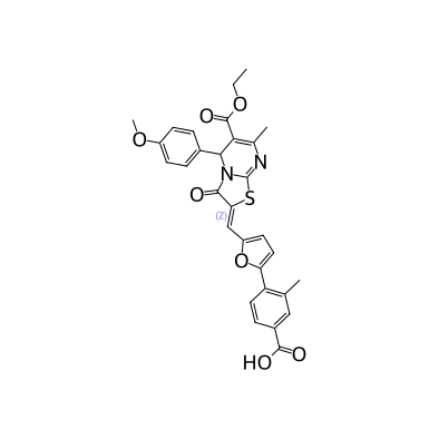 CCOC(=O)C1=C(C)N=c2s/c(=C\c3ccc(-c4ccc(C(=O)O)cc4C)o3)c(=O)n2C1c1ccc(OC)cc1